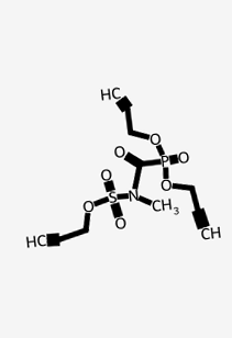 C#CCOP(=O)(OCC#C)C(=O)N(C)S(=O)(=O)OCC#C